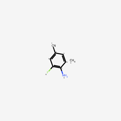 C.N#Cc1ccc(N)c(F)c1